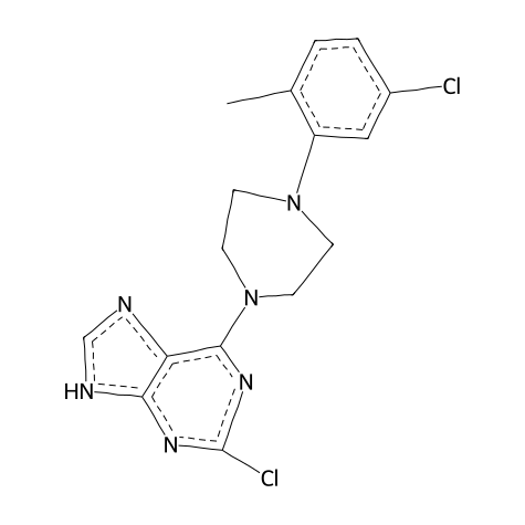 Cc1ccc(Cl)cc1N1CCN(c2nc(Cl)nc3[nH]cnc23)CC1